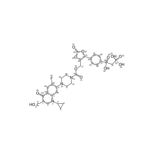 O=C(O)c1cn(C2CC2)c2cc(N3CCN(C(=O)OCc4oc(=O)oc4-c4ccc(P(=O)(O)CP(=O)(O)O)cc4)CC3)c(F)cc2c1=O